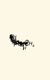 CC(=O)NCC1CN(c2ccc(-c3ccc(CNCc4cnn[nH]4)cc3)c(F)c2)OO1